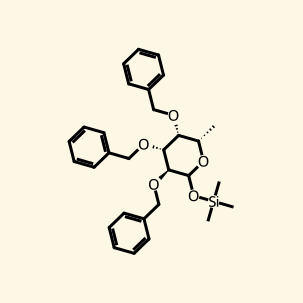 C[C@@H]1OC(O[Si](C)(C)C)[C@@H](OCc2ccccc2)[C@H](OCc2ccccc2)[C@@H]1OCc1ccccc1